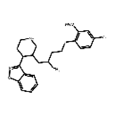 COc1cc(C(C)=O)ccc1OCCC(C)CC1CNCCC1c1noc2ccccc12